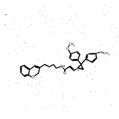 COc1ccc(C2(c3ccc(OC)cc3)C[C@H]2/C=C/C(=O)NCCCCC2=Cc3ccccc3OC2)cc1